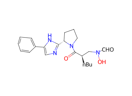 CCCC[C@H](CN(O)C=O)C(=O)N1CCC[C@H]1c1ncc(-c2ccccc2)[nH]1